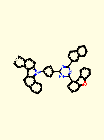 c1ccc2cc(C3=NC(c4ccc(-n5c6ccc7ccccc7c6c6ccc7ccccc7c65)cc4)NC(c4cccc5oc6ccccc6c45)=N3)ccc2c1